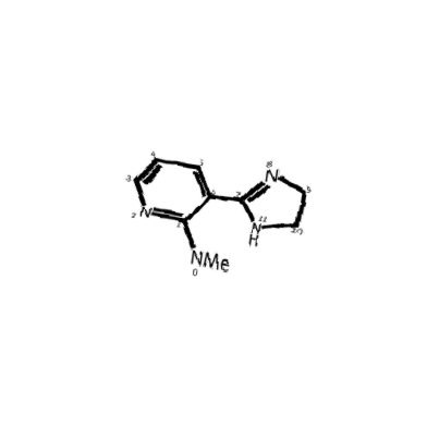 CNc1ncccc1C1=NCCN1